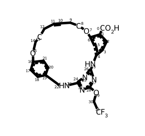 O=C(O)c1ccc2cc1OCCC=CCCCOc1ccc(cc1)CNc1nc(nc(OCC(F)(F)F)n1)N2